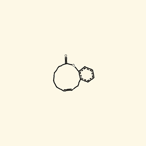 O=C1CCCCC=CCc2ccccc2O1